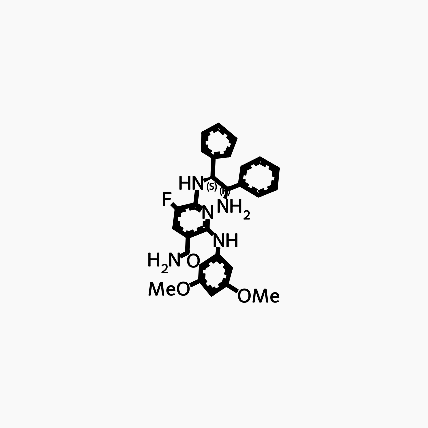 COc1cc(Nc2nc(N[C@@H](c3ccccc3)[C@H](N)c3ccccc3)c(F)cc2C(N)=O)cc(OC)c1